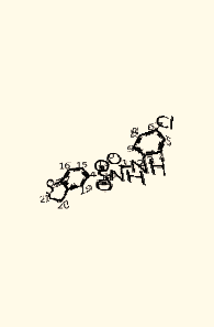 O=C(Nc1ccc(Cl)cc1)NS(=O)(=O)c1ccc2c(c1)CCS2